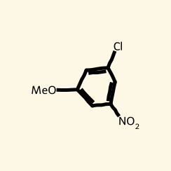 COc1cc(Cl)cc([N+](=O)[O-])c1